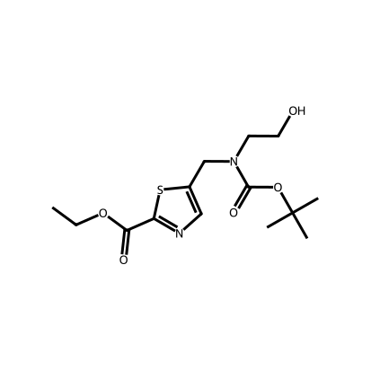 CCOC(=O)c1ncc(CN(CCO)C(=O)OC(C)(C)C)s1